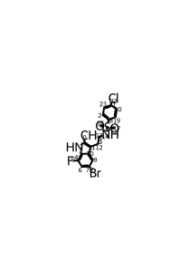 Cc1[nH]c2c(F)cc(Br)cc2c1CCNS(=O)(=O)c1ccc(Cl)cc1